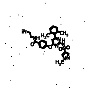 Cc1cccc(C)c1-c1cc(Oc2ccc(C(=O)NCCC(C)C)cc2)nc(NS(=O)(=O)c2cnn(C)c2)n1